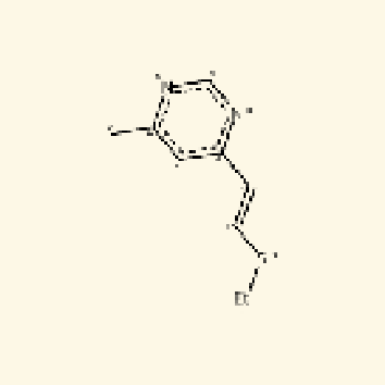 CCS/C=C/c1cc(C)ncn1